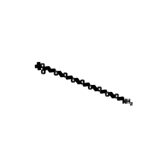 CC(C)(C)OC(=O)CCCOCCOCCOCCOCCOCCOCCOCCOCCN